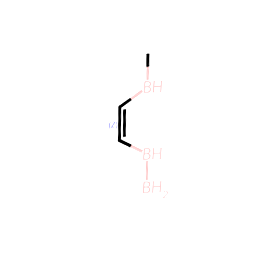 BB/C=C\BC